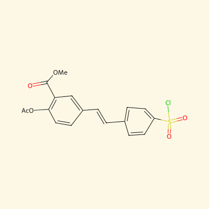 COC(=O)c1cc(C=Cc2ccc(S(=O)(=O)Cl)cc2)ccc1OC(C)=O